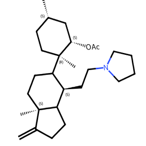 C=C1CCC2[C@H](CCN3CCCC3)C([C@@]3(C)CC[C@H](C)C[C@@H]3OC(C)=O)CC[C@]12C